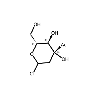 CC(=O)[C@@]1(O)CC(Cl)O[C@H](CO)[C@H]1O